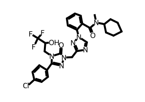 CN(C(=O)c1ccccc1-n1cnc(Cn2nc(-c3ccc(Cl)cc3)n(CC(O)C(F)(F)F)c2=O)n1)C1CCCCC1